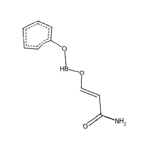 NC(=O)C=COBOc1ccccc1